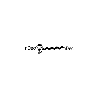 CCCCCCCCCCCCCCCCCCN1C=CN(CCCCCCCCCC)C1C(C)C